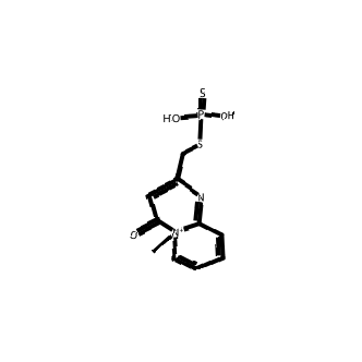 C[N+]12C=CC=CC1=NC(CSP(O)(O)=S)=CC2=O